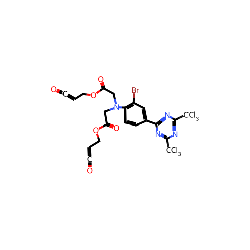 O=C=CCOC(=O)CN(CC(=O)OCC=C=O)c1ccc(-c2nc(C(Cl)(Cl)Cl)nc(C(Cl)(Cl)Cl)n2)cc1Br